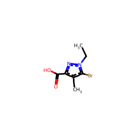 CCn1nc(C(=O)O)c(C)c1Br